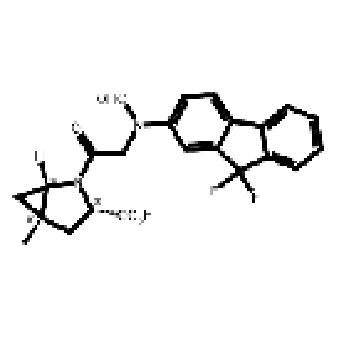 C[C@@]12C[C@@H]1N(C(=O)CN(C=O)c1ccc3c(c1)C(F)(F)c1ccccc1-3)[C@H](C(=O)O)C2